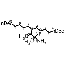 CCCCCCCCCCCCCCC(CCCCCCCCCCCCCC)C(C)C(C)(N)C(C)C